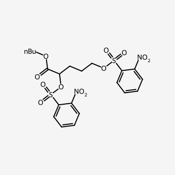 CCCCOC(=O)C(CCCOS(=O)(=O)c1ccccc1[N+](=O)[O-])OS(=O)(=O)c1ccccc1[N+](=O)[O-]